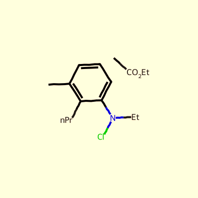 CCCc1c(C)cccc1N(Cl)CC.CCOC(C)=O